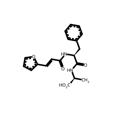 C[C@H](NC(=O)[C@H](Cc1ccccc1)NC(=O)C=Cc1ccco1)C(=O)O